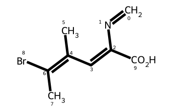 C=N/C(=C\C(C)=C(/C)Br)C(=O)O